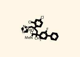 CNC(=O)C(C)(CC(O)(Cn1cncn1)c1ccc(Cl)cc1Cl)c1ccc(-c2ccccc2)c(F)c1